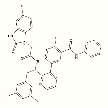 O=C(C[C@@H]1C(=O)Nc2cc(F)ccc21)NC(Cc1cc(F)cc(F)c1)c1ncccc1-c1ccc(F)c(C(=O)Nc2ccccc2)c1